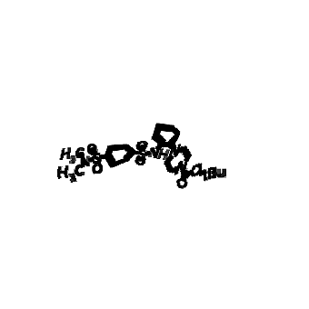 CN(C)S(=O)(=O)c1ccc(S(=O)(=O)Nc2ccccc2N2CCN(C(=O)OC(C)(C)C)CC2)cc1